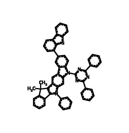 CC1(C)c2ccccc2-c2c1c1cc3c4cc(-c5cccc6c5sc5ccccc56)ccc4n(-c4nc(-c5ccccc5)nc(-c5ccccc5)n4)c3cc1n2-c1ccccc1